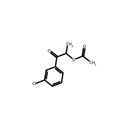 CC(=O)OC(C)C(=O)c1cccc(Cl)c1